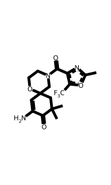 Cc1nc(C(=O)N2CCOC3(C=C(N)C(=O)C(C)(C)C3)C2)c(C(F)(F)F)o1